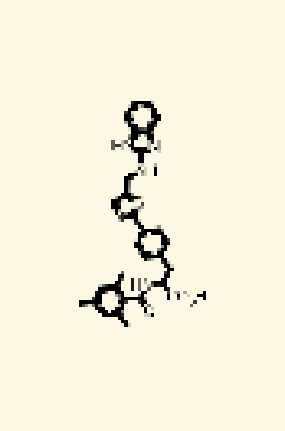 Cc1cc(C)c(C(=O)NC(Cc2ccc(-c3ncc(CNc4nc5ccccc5[nH]4)s3)cc2)C(=O)O)c(C)c1